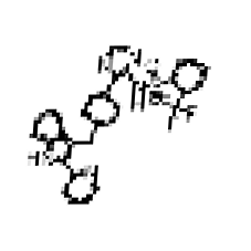 O=S(=O)(Nc1nccnc1-c1ccc(Cc2c(-c3ccccn3)[nH]c3ccccc23)cc1)c1ccccc1C(F)(F)F